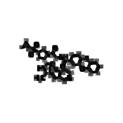 C[C@@H](NC(=O)[C@@H]1C[C@@H](S(=O)(=O)C2CC2)CN1C(=O)CNC(=O)c1ccc2c(c1)Oc1ccccc1S2)c1cc2cnccc2[nH]1